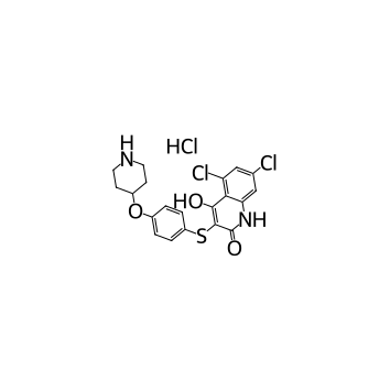 Cl.O=c1[nH]c2cc(Cl)cc(Cl)c2c(O)c1Sc1ccc(OC2CCNCC2)cc1